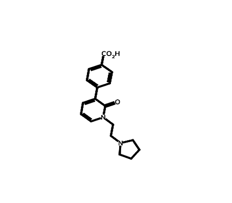 O=C(O)c1ccc(-c2cccn(CCN3CCCC3)c2=O)cc1